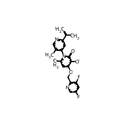 C=C(C)c1cc(-n2c(C)cc(OCc3ncc(F)cc3F)c(Cl)c2=O)c(C)cn1